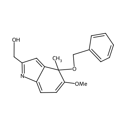 COC1=CC=C2N=C(CO)C=C2C1(C)OCc1ccccc1